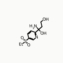 CCS(=O)(=O)c1ccc(C(N)(O)CCO)nc1